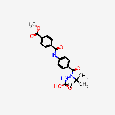 COC(=O)c1ccc(C(=O)Nc2ccc(C(=O)N(NC(=O)O)C(C)(C)C)cc2)cc1